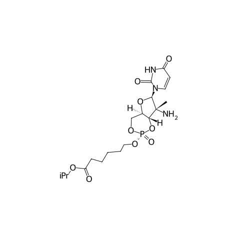 CC(C)OC(=O)CCCCCO[P@]1(=O)OC[C@H]2O[C@@H](n3ccc(=O)[nH]c3=O)[C@](C)(N)[C@@H]2O1